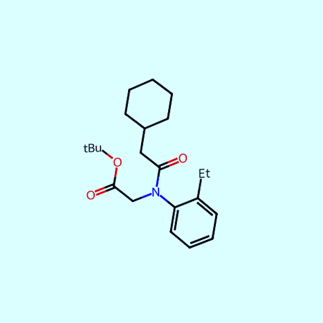 [CH2]Cc1ccccc1N(CC(=O)OC(C)(C)C)C(=O)CC1CCCCC1